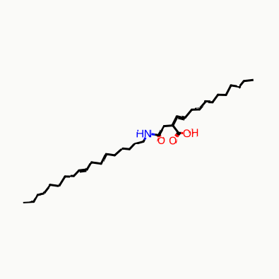 CCCCCCCC/C=C/CCCCCCCCNC(=O)CC(/C=C/CCCCCCCCCC)C(=O)O